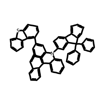 c1ccc(C2(c3ccccc3)c3ccccc3-c3ccc(N(c4cccc(-c5cccc6sc7ccccc7c56)c4)c4ccccc4-c4cccc5ccccc45)cc32)cc1